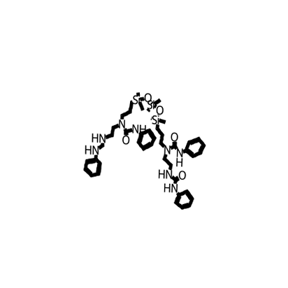 C[Si](C)(CCCN(CCNCNc1ccccc1)C(=O)Nc1ccccc1)O[Si](C)(C)O[Si](C)(C)CCCN(CCNC(=O)Nc1ccccc1)C(=O)Nc1ccccc1